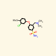 CSc1ccc(Oc2ccc(S(N)(=O)=O)cc2CN(C)C)cc1Cl